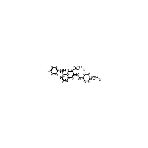 COc1cc2c(Nc3ccccc3)ncnc2cc1OCC1CCN(C)CC1